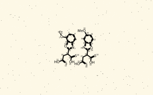 CCOc1cccc2nc(C(CC(O)=S)C(O)=S)oc12.COc1ccc2oc(C(CC(O)=S)C(O)=S)nc2c1